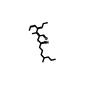 C\C=C/C(=C\CC)C(/C)=C(\C=O)SC(=N)CCCC(C)CCC